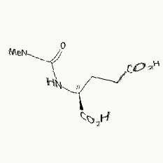 CNC(=O)N[C@@H](CCC(=O)O)C(=O)O